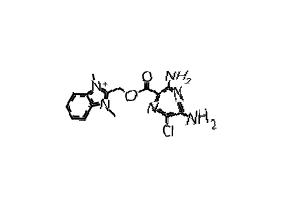 Cn1c(COC(=O)c2nc(Cl)c(N)nc2N)[n+](C)c2ccccc21